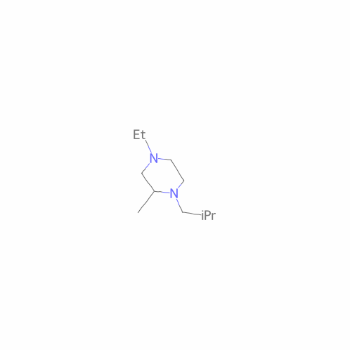 CCN1CCN(CC(C)C)C(C)C1